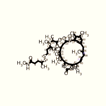 CNC(=O)CCC(C)SSCCC(=O)N(C)[C@@H](C)C(=O)O[C@H]1CC(=O)N(C)c2cc(cc(C)c2Cl)C/C(C)=C/C=C/[C@@H](C)[C@@]2(O)C[C@H](OC(=O)N2)[C@@H](C)[C@@H]2O[C@@]12C